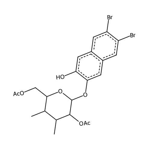 CC(=O)OCC1OC(Oc2cc3cc(Br)c(Br)cc3cc2O)C(OC(C)=O)C(C)C1C